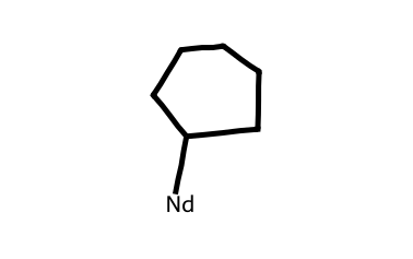 [Nd][CH]1CCCCC1